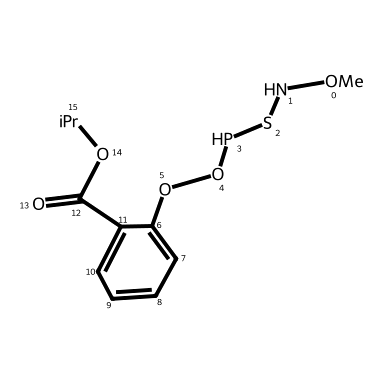 CONSPOOc1ccccc1C(=O)OC(C)C